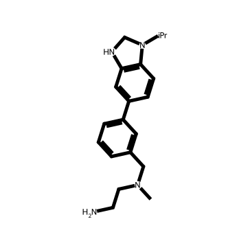 CC(C)N1CNc2cc(-c3cccc(CN(C)CCN)c3)ccc21